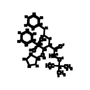 CC(C)(C)ONC(=O)C(CCCc1ccccc1)C(OC1CCCC1)S(=O)(=O)c1ccccc1